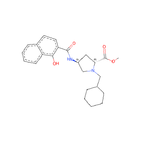 COC(=O)[C@H]1C[C@H](NC(=O)c2ccc3ccccc3c2O)CN1CC1CCCCC1